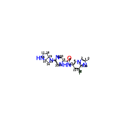 Cc1cn2cc(NC(=O)c3cnc(N4CC5NCCC54)cn3)cc(F)c2n1